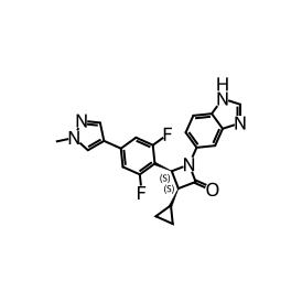 Cn1cc(-c2cc(F)c([C@@H]3[C@H](C4CC4)C(=O)N3c3ccc4[nH]cnc4c3)c(F)c2)cn1